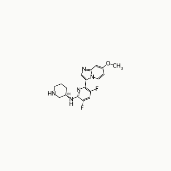 COc1ccn2c(-c3nc(N[C@@H]4CCCNC4)c(F)cc3F)cnc2c1